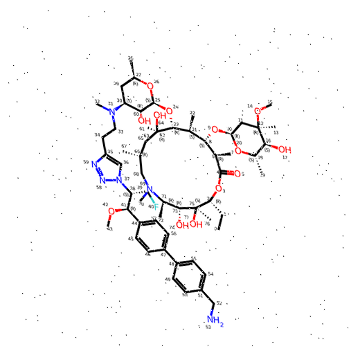 CC[C@H]1OC(=O)[C@H](C)[C@@H](O[C@H]2C[C@@](C)(OC)[C@@H](O)[C@H](C)O2)[C@H](C)[C@@H](O[C@@H]2O[C@H](C)C[C@H](N(C)CCc3cn([C@H](CF)[C@H](OC)c4ccc(-c5ccc(CN)cc5)cc4)nn3)[C@H]2O)[C@](C)(O)C[C@@H](C)CN(C)[C@H](C)[C@@H](O)[C@]1(C)O